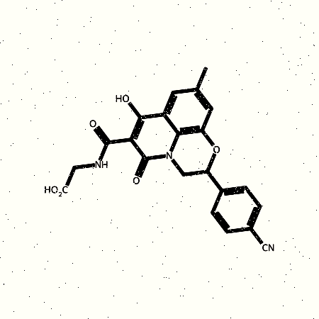 Cc1cc2c3c(c1)c(O)c(C(=O)NCC(=O)O)c(=O)n3CC(c1ccc(C#N)cc1)O2